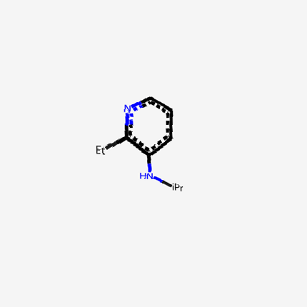 CCc1ncc[c]c1NC(C)C